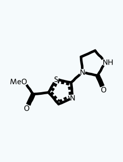 COC(=O)c1cnc(N2CCNC2=O)s1